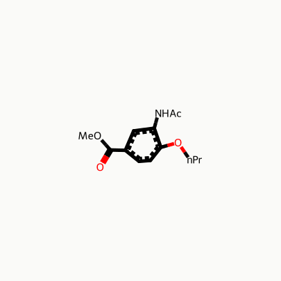 CCCOc1ccc(C(=O)OC)cc1NC(C)=O